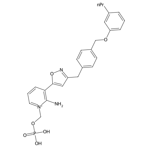 CCCc1cccc(OCc2ccc(Cc3cc(-c4ccc[n+](COP(=O)(O)O)c4N)on3)cc2)c1